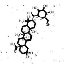 CC1(C)CC[C@]2(C(=O)O)CC[C@]3(C)C(=CCC4[C@@]5(C)CC[C@@H](C(O)[C@@H]6OC(CO)[C@H](O)C(O)C6O)C(C)(C)C5CC[C@]43C)C2C1